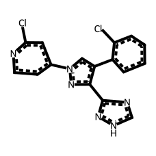 Clc1cc(-n2cc(-c3ccccc3Cl)c(-c3nc[nH]n3)n2)ccn1